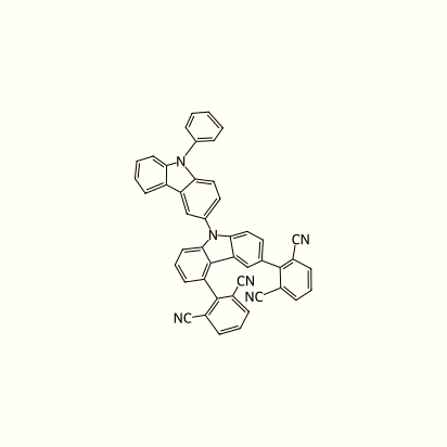 N#Cc1cccc(C#N)c1-c1ccc2c(c1)c1c(-c3c(C#N)cccc3C#N)cccc1n2-c1ccc2c(c1)c1ccccc1n2-c1ccccc1